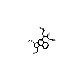 C=CCN(C(=O)OC(C)(C)C)c1cc2c(c3ccccc13)C(CO)CN2C(=O)O